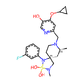 C[C@H]1C[C@]2(CCN1Cc1cc(OC3CC3)c(O)cn1)CN(C)S(O)(O)N2c1cccc(F)c1